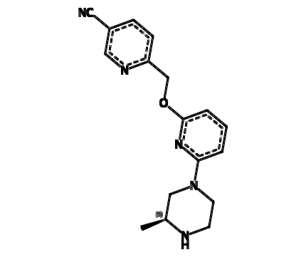 C[C@H]1CN(c2cccc(OCc3ccc(C#N)cn3)n2)CCN1